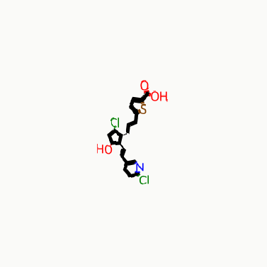 O=C(O)c1ccc(CCC[C@@H]2[C@@H](/C=C/c3ccc(Cl)nc3)[C@H](O)C[C@H]2Cl)s1